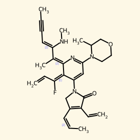 C=CC1=C(/C=C\C)CN(c2cc(N3CCOCC3C)nc(=C(C)\C(=C\C#CC)NC)/c2=C(/F)C=C)C1=O